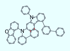 c1ccc(-c2cccc(-c3cccc4c3c3ccc(N(c5ccccc5-c5ccccc5)c5cccc6oc7ccccc7c56)cc3n4-c3ccccc3)c2)cc1